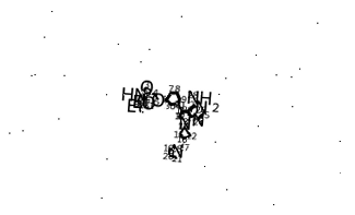 CCNP(=O)(COc1cccc(-c2cn([C@H]3C[C@@H](CN4CCC4)C3)c3ncnc(N)c23)c1)OCC